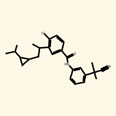 CC(CC1CC1C(C)C)c1cc(C(=O)Nc2cccc(C(C)(C)C#N)c2)ccc1Cl